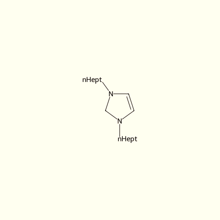 CCCCCCCN1C=CN(CCCCCCC)C1